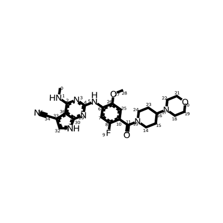 CNc1nc(Nc2cc(F)c(C(=O)N3CCC(N4CCOCC4)CC3)cc2OC)nc2[nH]cc(C#N)c12